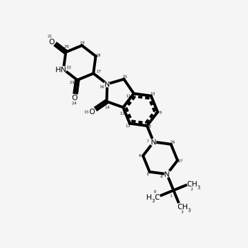 CC(C)(C)N1CCN(c2ccc3c(c2)C(=O)N(C2CCC(=O)NC2=O)C3)CC1